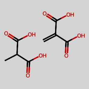 C=C(C(=O)O)C(=O)O.CC(C(=O)O)C(=O)O